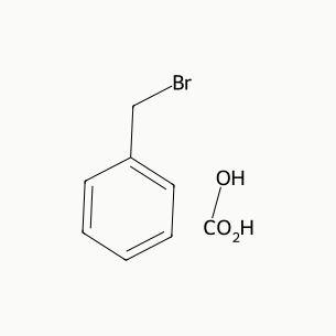 BrCc1ccccc1.O=C(O)O